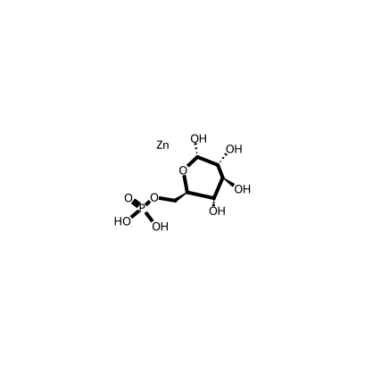 O=P(O)(O)OC[C@H]1O[C@H](O)[C@H](O)[C@@H](O)[C@@H]1O.[Zn]